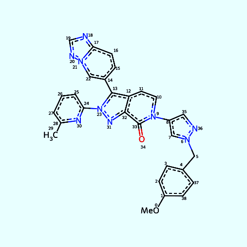 COc1ccc(Cn2cc(-n3ccc4c(-c5ccc6ncnn6c5)n(-c5cccc(C)n5)nc4c3=O)cn2)cc1